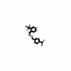 FC(F)c1ccc(CO/N=[C]\c2ccccc2C(F)(F)F)cc1